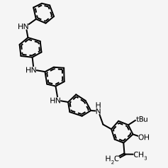 C=C(C)c1cc(CNc2ccc(Nc3cccc(Nc4ccc(Nc5ccccc5)cc4)c3)cc2)cc(C(C)(C)C)c1O